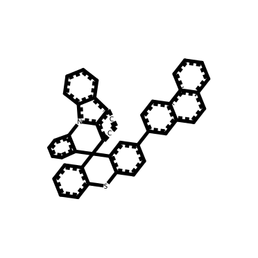 c1ccc2c(c1)Sc1ccc(-c3ccc4c(ccc5ccccc54)c3)cc1C21c2ccccc2-n2c3ccccc3c3cccc1c32